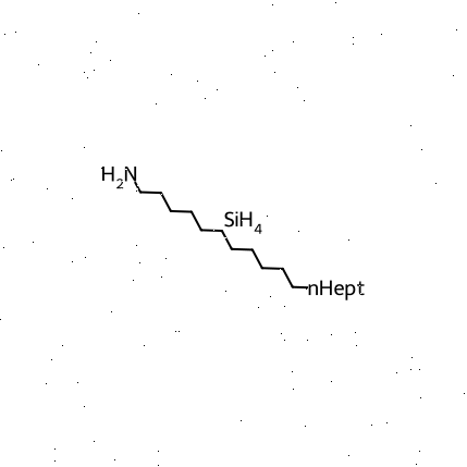 CCCCCCCCCCCCCCCCCCN.[SiH4]